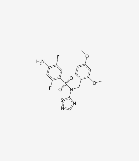 COc1ccc(CN(c2ncns2)S(=O)(=O)c2cc(F)c(N)cc2F)c(OC)c1